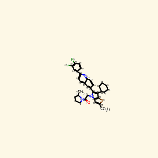 CC1CCCN1C(=O)Cn1c(-c2ccc3nc(-c4ccc(F)c(F)c4)ccc3c2)c(C2CCCCC2)c2sc(C(=O)O)cc21